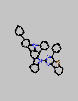 c1ccc(-c2ccc3c4cc5c6ccccc6n(-c6nc(-c7ccccc7)c7sc8ccccc8c7n6)c5c5c6ccccc6n(c3c2)c45)cc1